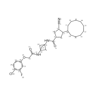 N#CC1SC(C(=O)NC23CC(NC(=O)COc4ccc(Cl)c(F)c4)(C2)C3)CC1C1CCCCCCCCC1